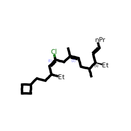 CCCC=C[C@@H](CC)C(C)C/C=C(/C)C/C(Cl)=C\C(CC)CCC1CCC1